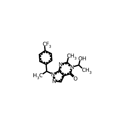 Cc1nc2c(cnn2C(C)c2ccc(C(F)(F)F)cc2)c(=O)n1C(C)O